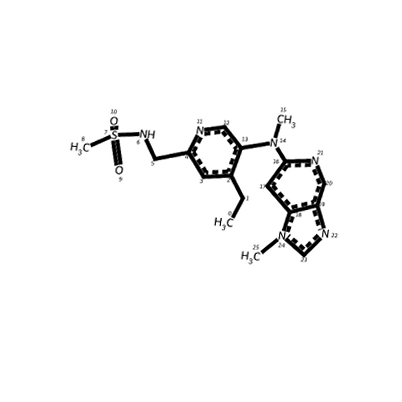 CCc1cc(CNS(C)(=O)=O)ncc1N(C)c1cc2c(cn1)ncn2C